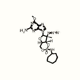 COc1nc(N)nc2c1ncn2C1O[C@@H]2COP(=O)(NC3CCCCCC3)O[C@H]2[C@@]1(C)N=[N+]=[N-]